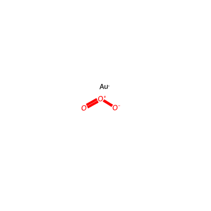 O=[O+][O-].[Au]